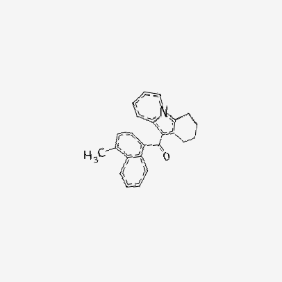 Cc1ccc(C(=O)c2c3c(n4ccccc24)CCCC3)c2ccccc12